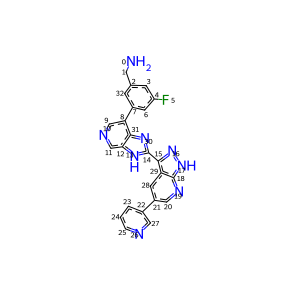 NCc1cc(F)cc(-c2cncc3[nH]c(-c4n[nH]c5ncc(-c6cccnc6)cc45)nc23)c1